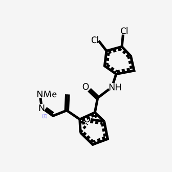 C=C(/C=N\NC)c1c(C(=O)Nc2ccc(Cl)c(Cl)c2)c2ccc1o2